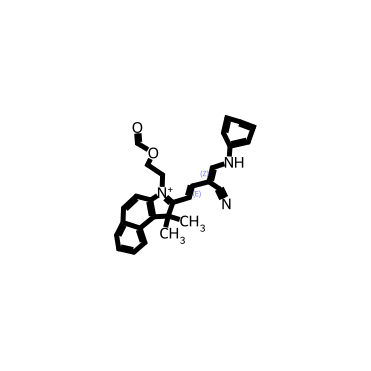 CC1(C)C(/C=C/C(C#N)=C/Nc2ccccc2)=[N+](CCOC=O)c2ccc3ccccc3c21